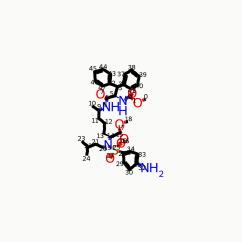 COC(=O)N[C@H](C(=O)NC(C)CCC[C@@H](C(=O)OC)N(CCC(C)C)S(=O)(=O)c1ccc(N)cc1)C(c1ccccc1)c1ccccc1